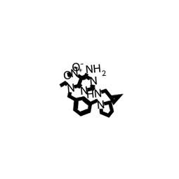 CCN(Cc1cccc(CN2CCCC2)c1)c1nc(NCC2CC2)nc(N)c1[N+](=O)[O-]